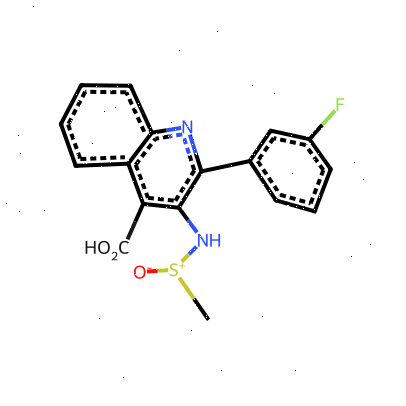 C[S+]([O-])Nc1c(-c2cccc(F)c2)nc2ccccc2c1C(=O)O